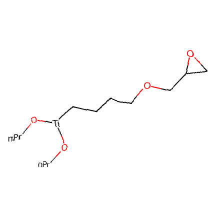 CCC[O][Ti]([CH2]CCCOCC1CO1)[O]CCC